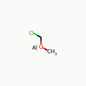 COCCl.[Al]